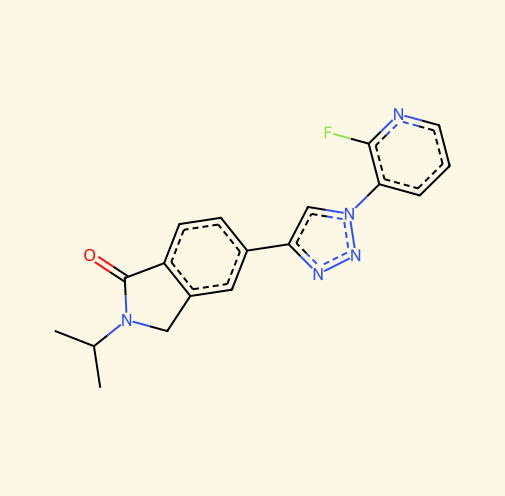 CC(C)N1Cc2cc(-c3cn(-c4cccnc4F)nn3)ccc2C1=O